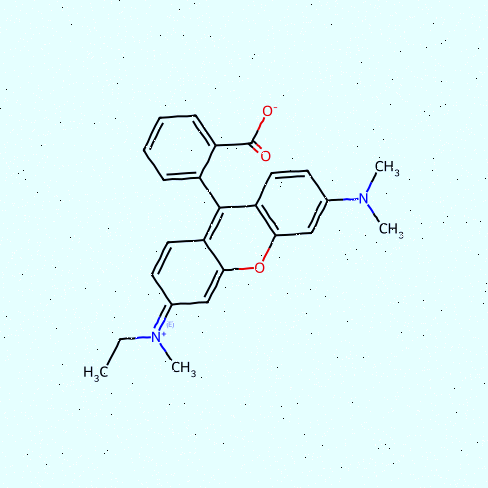 CC/[N+](C)=c1\ccc2c(-c3ccccc3C(=O)[O-])c3ccc(N(C)C)cc3oc-2c1